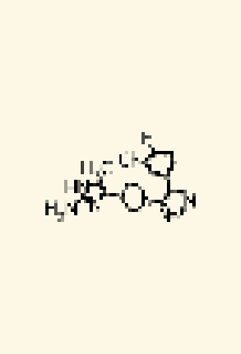 Cc1[nH]c(N)nc1C1CCN(c2ncncc2-c2ccc(F)c(Cl)c2)CC1